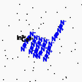 [Ga+3].[In+3].[N-]=[N+]=[N-].[N-]=[N+]=[N-].[N-]=[N+]=[N-].[N-]=[N+]=[N-].[N-]=[N+]=[N-].[N-]=[N+]=[N-]